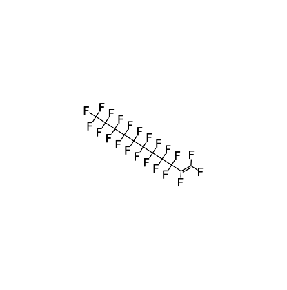 FC(F)=C(F)C(F)(F)C(F)(F)C(F)(F)C(F)(F)C(F)(F)C(F)(F)C(F)(F)C(F)(F)C(F)(F)F